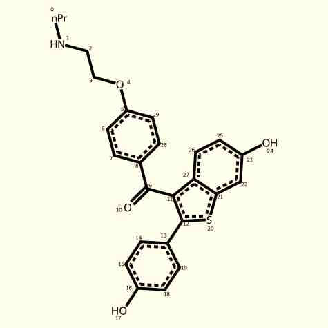 CCCNCCOc1ccc(C(=O)c2c(-c3ccc(O)cc3)sc3cc(O)ccc23)cc1